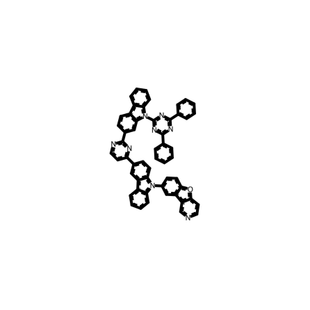 c1ccc(-c2nc(-c3ccccc3)nc(-n3c4ccccc4c4ccc(-c5nccc(-c6ccc7c(c6)c6ccccc6n7-c6ccc7oc8ccncc8c7c6)n5)cc43)n2)cc1